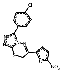 O=[N+]([O-])c1ccc(C2=Nn3c(nnc3-c3ccc(Cl)cc3)SC2)o1